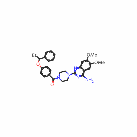 CCC(Oc1ccc(C(=O)N2CCN(c3nc(N)c4cc(OC)c(OC)cc4n3)CC2)cc1)c1ccccc1